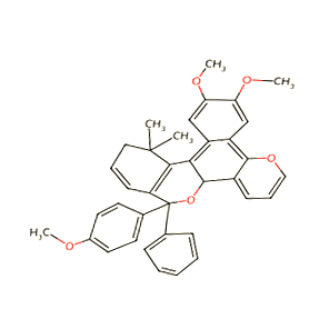 COc1ccc(C2(c3ccccc3)OC3C4=CC=COC4=c4cc(OC)c(OC)cc4=C3C3=C2C=CCC3(C)C)cc1